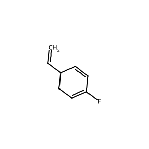 C=CC1C=CC(F)=CC1